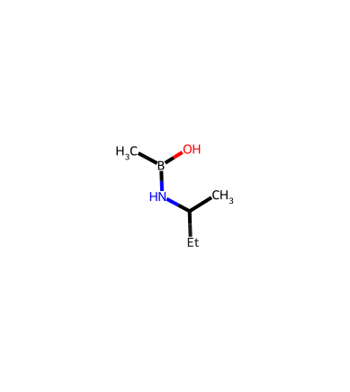 CCC(C)NB(C)O